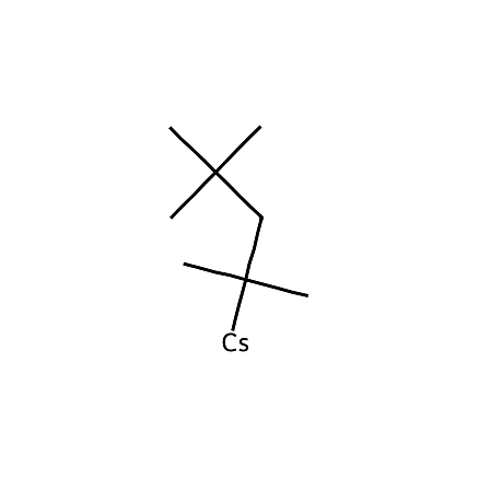 CC(C)(C)C[C](C)(C)[Cs]